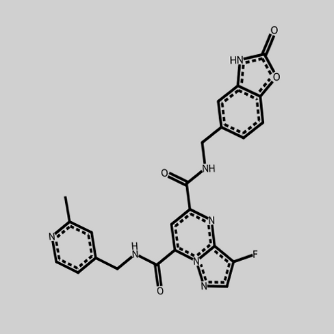 Cc1cc(CNC(=O)c2cc(C(=O)NCc3ccc4oc(=O)[nH]c4c3)nc3c(F)cnn23)ccn1